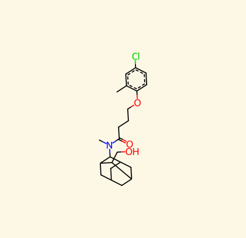 Cc1cc(Cl)ccc1OCCCC(=O)N(C)C1C2CC3CC(C2)C(CO)C1C3